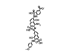 COc1ccc(N=Nc2c(S(=O)(=O)O)cc3ccc(N=Nc4c(S(=O)(=O)O)cc5ccc(N=Nc6ccc([N+](=O)[O-])cc6S(=O)(=O)O)c(O)c5c4N)cc3c2O)cc1